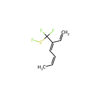 C=C/C(=C\C=C/C)C(F)(F)SF